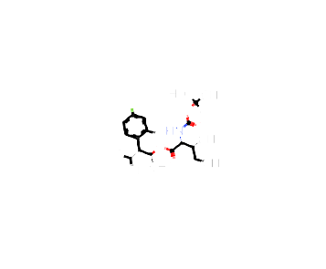 CC[C@H](C)[C@H](NC(=O)OC(C)(C)C)C(=O)O[C@@H](C)[C@H](c1ccc(F)cc1C)C(C)C